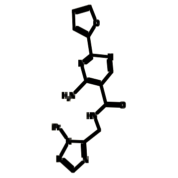 CC(C)n1ncnc1CNC(=O)c1cnc(-c2ccco2)nc1N